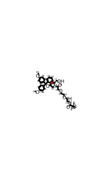 COc1ccc(C(O[C@@H]2C[C@@H](CO)N(C(=O)COCCOCCNC(=O)C(F)(F)F)C2)(c2ccccc2)c2ccc(OC)cc2)cc1